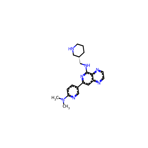 CN(C)c1ccc(-c2cc3nccnc3c(NC[C@H]3CCCNC3)n2)cn1